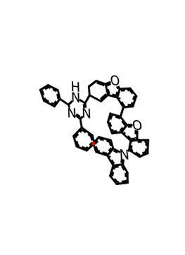 C1=c2oc3cccc(-c4cccc5c4oc4cccc(-n6c7ccccc7c7ccccc76)c45)c3c2=CC(C2=NC(c3ccccc3)=NC(c3ccccc3)N2)C1